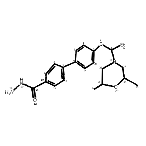 CCC(Oc1ccc(-c2ccc(C(=O)NN)cc2)cc1)N1CC(C)OC(C)C1